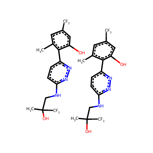 Cc1cc(C(F)(F)F)cc(O)c1-c1ccc(NCC(C)(O)C(F)(F)F)nn1.Cc1cc(C(F)(F)F)cc(O)c1-c1ccc(NCC(C)(O)C(F)(F)F)nn1